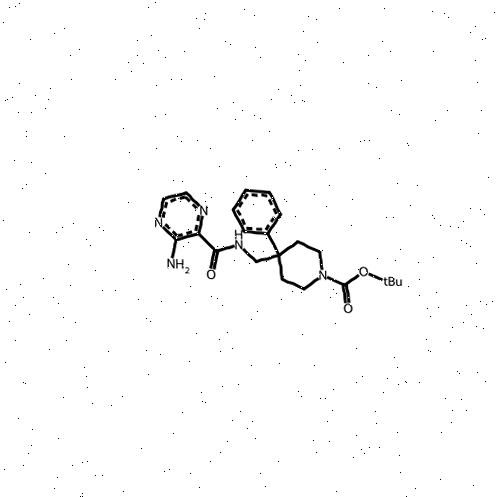 CC(C)(C)OC(=O)N1CCC(CNC(=O)c2nccnc2N)(c2ccccc2)CC1